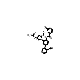 N#Cc1ccncc1-c1ccc(NC(=O)c2ccnc(Cl)n2)c(N2C[C@@H](OC(N)=O)C[C@H]2CO)c1